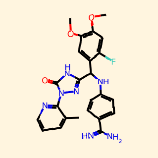 COc1cc(F)c(C(Nc2ccc(C(=N)N)cc2)c2nn(-c3ncccc3C)c(=O)[nH]2)cc1OC